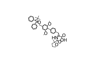 COc1cc(CO[Si](c2ccccc2)(c2ccccc2)C(C)(C)C)cc(OC)c1-c1ccc(C[C@H](NC(=O)C2(C)CCCO2)C(=O)O)cc1